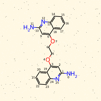 Nc1cc(OCCOc2cc(N)nc3ccccc23)c2ccccc2n1